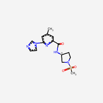 Cc1cc(C(=O)N[C@H]2CCN(S(C)(=O)=O)C2)nc(-n2ccnc2)c1